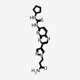 NC(=O)CCn1cc(-c2cnc3ccc(NC(=S)NC4CCCC4)nc3n2)cn1